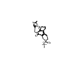 Cc1ncc(Cn2c(=O)c3c(c4cccnc42)CCN(C(=O)OC(C)(C)C)C3)s1